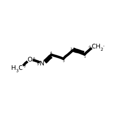 [CH2]C=CCC=NOC